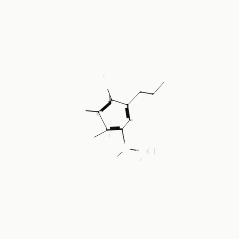 CCCc1cc(B(O)O)c(F)c(F)c1F